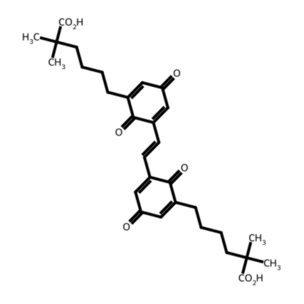 CC(C)(CCCCC1=CC(=O)C=C(C=CC2=CC(=O)C=C(CCCCC(C)(C)C(=O)O)C2=O)C1=O)C(=O)O